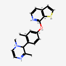 CC1=NC=CN(C)C1c1ccc(Oc2nccc3ccsc23)cc1C